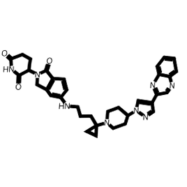 O=C1CCC(N2Cc3cc(NCCCC4(N5CCC(n6cc(-c7cnc8ccccc8n7)cn6)CC5)CC4)ccc3C2=O)C(=O)N1